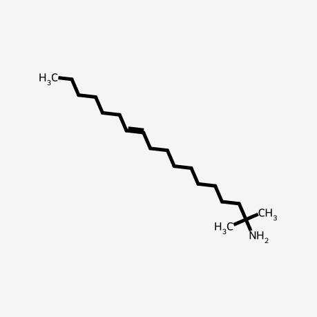 CCCCCCC=CCCCCCCCCC(C)(C)N